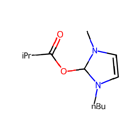 CCCCN1C=CN(C)C1OC(=O)C(C)C